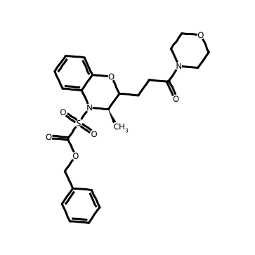 C[C@@H]1C(CCC(=O)N2CCOCC2)Oc2ccccc2N1S(=O)(=O)C(=O)OCc1ccccc1